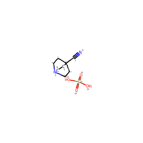 N#CC12CCN(CC1)CC2.O=S(=O)(O)O